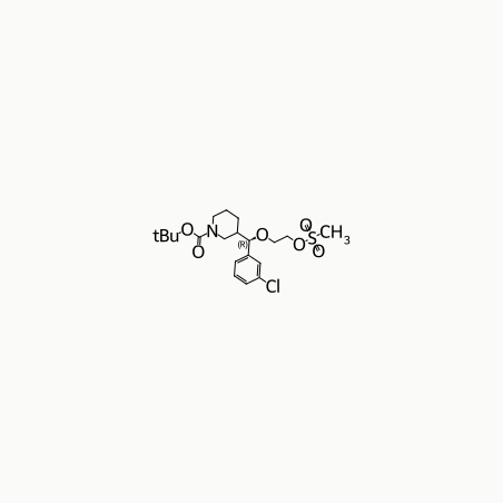 CC(C)(C)OC(=O)N1CCCC([C@@H](OCCOS(C)(=O)=O)c2cccc(Cl)c2)C1